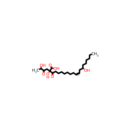 CCCCCC[C@@H](O)C/C=C\CCCCCCCC(=O)C(O)(CC(=O)C(C)O)C(=O)O